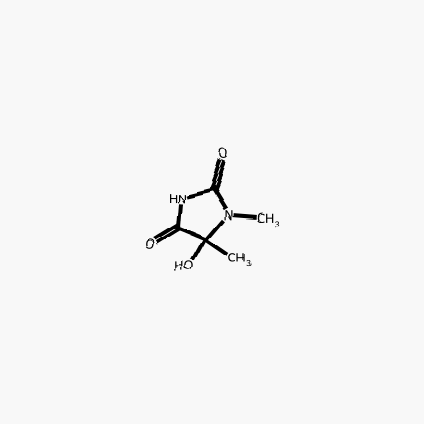 CN1C(=O)NC(=O)C1(C)O